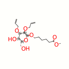 C=CCO[C@H]1[C@@H](OCCCCCC(=O)OC)O[C@H](CO)[C@H](O)[C@@H]1OCC=C